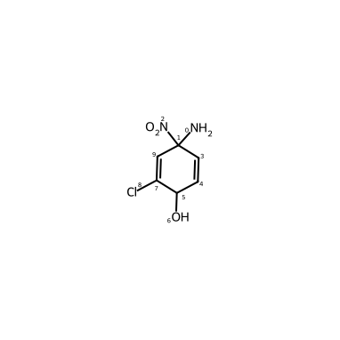 NC1([N+](=O)[O-])C=CC(O)C(Cl)=C1